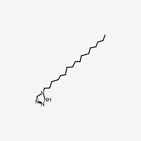 CCCCCCCCCCCCCCCCCN1CN=NN1